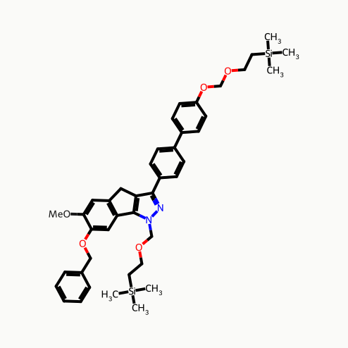 COc1cc2c(cc1OCc1ccccc1)-c1c(c(-c3ccc(-c4ccc(OCOCC[Si](C)(C)C)cc4)cc3)nn1COCC[Si](C)(C)C)C2